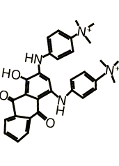 C[N+](C)(C)c1ccc(Nc2cc(Nc3ccc([N+](C)(C)C)cc3)c3c(c2O)C(=O)c2ccccc2C3=O)cc1